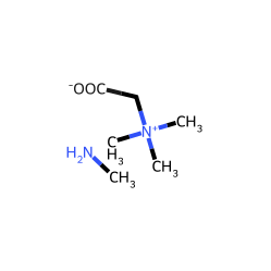 CN.C[N+](C)(C)CC(=O)[O-]